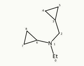 CCN(CC1CC1)C1CC1